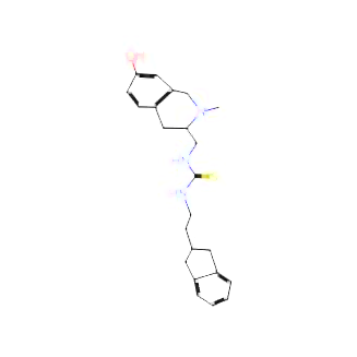 CN1Cc2cc(O)ccc2CC1CNC(=S)NCCC1Cc2ccccc2C1